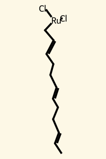 CC=CCCC=CCCC=C[CH2][Ru]([Cl])[Cl]